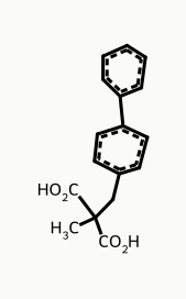 CC(Cc1ccc(-c2ccccc2)cc1)(C(=O)O)C(=O)O